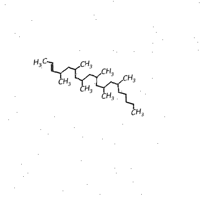 C/C=C/C(C)CC(C)CC(C)CC(C)CC(C)CC(C)CCCCC